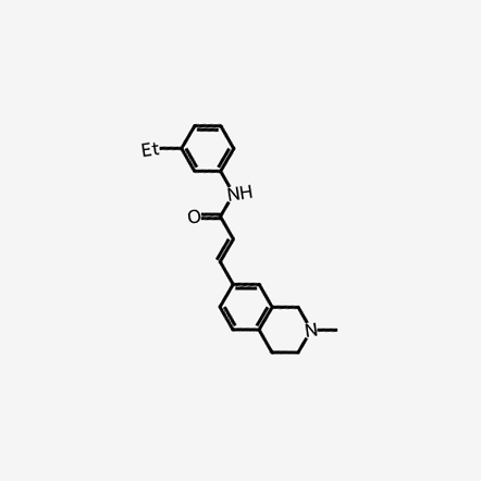 CCc1cccc(NC(=O)C=Cc2ccc3c(c2)CN(C)CC3)c1